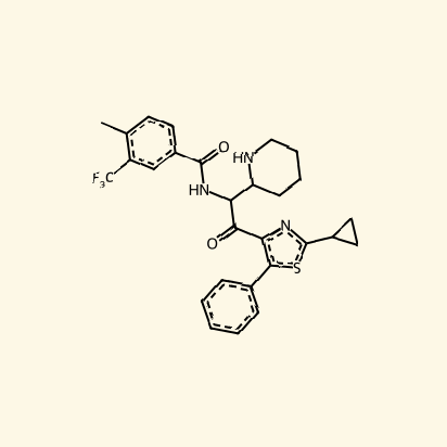 Cc1ccc(C(=O)NC(C(=O)c2nc(C3CC3)sc2-c2ccccc2)C2CCCCN2)cc1C(F)(F)F